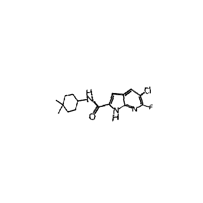 CC1(C)CCC(NC(=O)c2cc3cc(Cl)c(F)nc3[nH]2)CC1